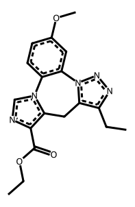 CCOC(=O)c1ncn2c1Cc1c(CC)nnn1-c1cc(OC)ccc1-2